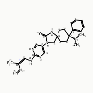 CN(C)[C@]1(c2ccccc2)CC[C@]2(CC1)CN(c1cnc(N/C=C(\N=N)C(F)(F)F)nc1)C(=O)N2